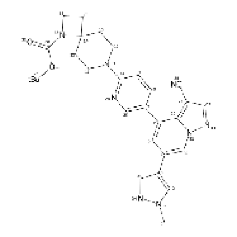 Cn1cc(-c2cc(-c3ccc(N4CCC5(CC4)CCN5C(=O)OC(C)(C)C)nc3)c3c(C#N)cnn3c2)cn1